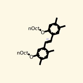 CCCCCCCCOc1cc(/C=C/c2cc(C)c(C)cc2OCCCCCCCC)c(C)cc1C